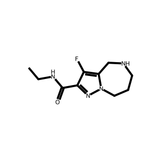 CCNC(=O)c1nn2c(c1F)CNCCC2